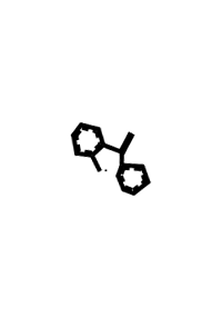 [CH2]c1ccccc1C(=C)c1ccccc1